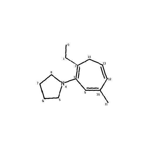 CCC1=C(N2CCCC2)C=C(C)C=CC1